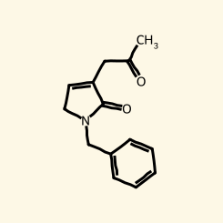 CC(=O)CC1=CCN(Cc2ccccc2)C1=O